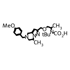 COc1ccc(CN2Cc3cc(COCC(C)N(C(=O)O)C(C)(C)C)nn3C(C)C2)cc1